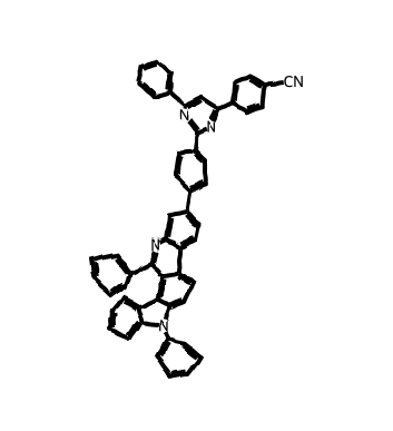 N#Cc1ccc(-c2cc(-c3ccccc3)nc(-c3ccc(-c4ccc5c(c4)nc(-c4ccccc4)c4c5ccc5c4c4ccccc4n5-c4ccccc4)cc3)n2)cc1